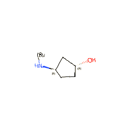 CC(C)(C)N[C@@H]1CC[C@@H](O)C1